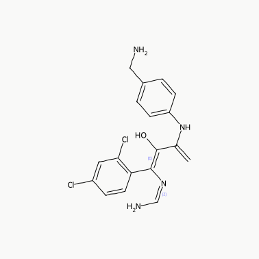 C=C(Nc1ccc(CN)cc1)/C(O)=C(\N=C/N)c1ccc(Cl)cc1Cl